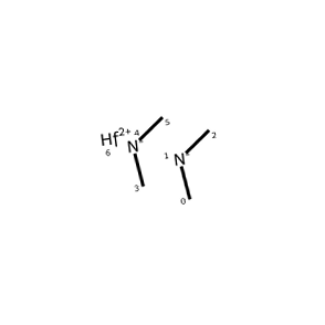 C[N-]C.C[N-]C.[Hf+2]